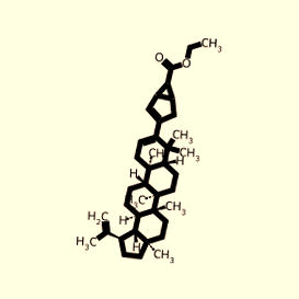 C=C(C)[C@@H]1CC[C@]2(C)CC[C@]3(C)[C@H](CC[C@@H]4[C@@]5(C)CC=C(C6=CC7C(C6)C7C(=O)OCC)C(C)(C)[C@@H]5CC[C@]43C)[C@@H]12